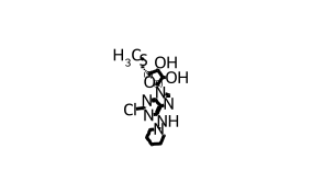 CSC[C@H]1O[C@@H](n2cnc3c(NN4CCCCC4)nc(Cl)nc32)C(O)C1O